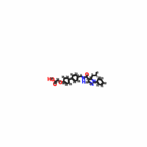 CCCc1c(C(=O)NCc2ccc(-c3ccc(OCC(=O)O)cc3)cc2)cnn1-c1ccccc1